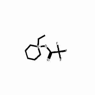 CC[N+]1(OC(=O)C(F)(F)F)CCCCC1